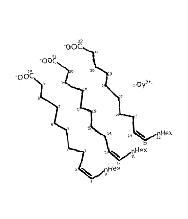 CCCCCC/C=C\CCCCCCCC(=O)[O-].CCCCCC/C=C\CCCCCCCC(=O)[O-].CCCCCC/C=C\CCCCCCCC(=O)[O-].[Dy+3]